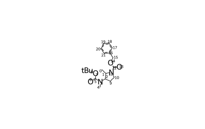 CC1C(N(C)C(=O)OC(C)(C)C)CCN1C(=O)OCc1ccccc1